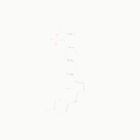 COC(=O)N(c1ccc(CC(=O)c2cc(C)c(C(=O)c3ccc(Cl)cc3)n2C)cc1)S(C)(=O)=O